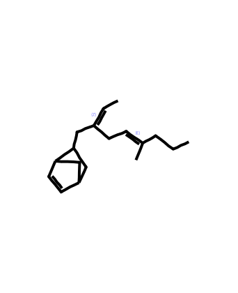 C/C=C(\C/C=C(\C)CCC)CC1CC2C=CC1C2